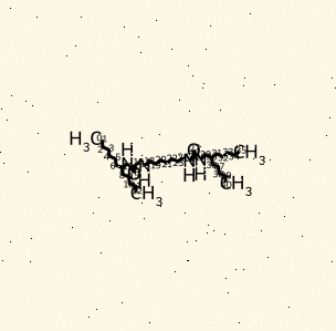 CCCCCCCC(CCCCC)NC(=O)CNCCCCCCCNC(=O)NCC(CCCCC)CCCCC